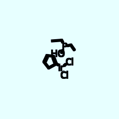 CCP(O)CC.[Cl][Ir]([Cl])[C]1=CC=CC1